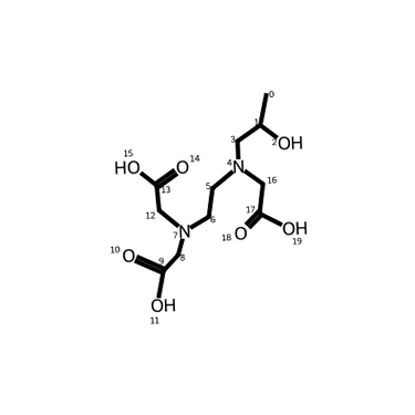 CC(O)CN(CCN(CC(=O)O)CC(=O)O)CC(=O)O